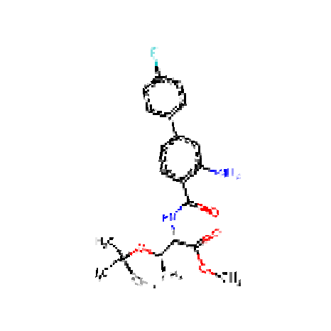 COC(=O)[C@@H](NC(=O)c1ccc(-c2ccc(F)cc2)cc1N)[C@@H](C)OC(C)(C)C